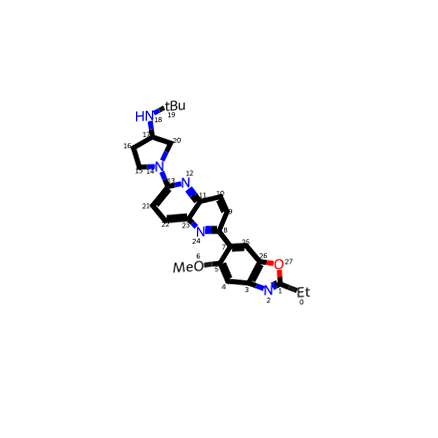 CCc1nc2cc(OC)c(-c3ccc4nc(N5CCC(NC(C)(C)C)C5)ccc4n3)cc2o1